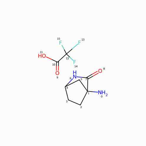 NC12CCC(C1)NC2=O.O=C(O)C(F)(F)F